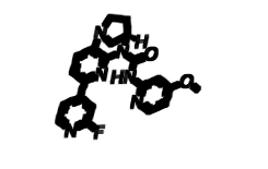 COc1ccnc(NC(=O)N2c3nc(-c4ccnc(F)c4)ccc3N3CC[C@H]2C3)c1